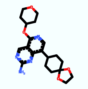 Nc1ncc2c(OC3CCOCC3)ncc(C3CCC4(CC3)OCCO4)c2n1